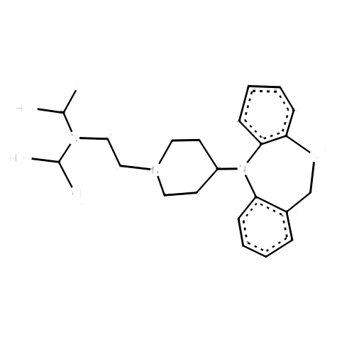 CC(C)N(CCN1CCC(N2c3ccccc3CSc3ccccc32)CC1)C(C)C